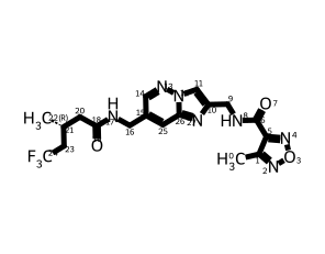 Cc1nonc1C(=O)NCc1cn2ncc(CNC(=O)C[C@@H](C)CC(F)(F)F)cc2n1